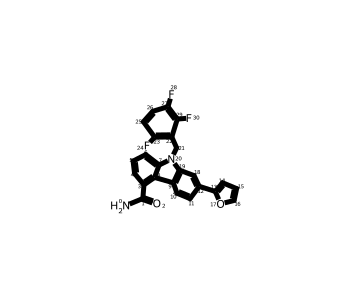 NC(=O)c1cccc2c1c1[c]cc(-c3ccco3)cc1n2Cc1c(F)ccc(F)c1F